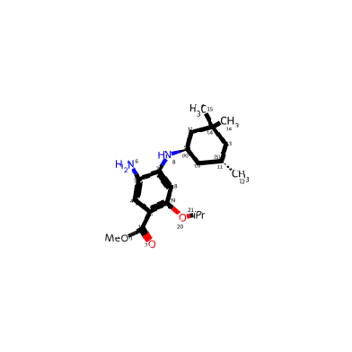 COC(=O)c1cc(N)c(N[C@@H]2C[C@@H](C)CC(C)(C)C2)cc1OC(C)C